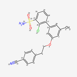 Cc1cc(OCCc2ccc(C#N)cc2)cc(-c2cccc(S(N)(=O)=O)c2Cl)c1